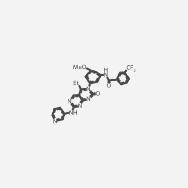 CCc1c2cnc(Nc3cccnc3)nc2nc(=O)n1-c1cc(NC(=O)c2cccc(C(F)(F)F)c2)cc(OC)c1